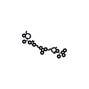 C=C1\C=C/C(/C=C/c2ccc3c4ccc(/C=C/c5ccc6c(c5)C(C)(C)c5cc(N(/C7=C/c8ccccc8C(CC)/C=C\C=C/C7)c7ccccc7)ccc5-6)cc4c4ccccc4c3c2)=C\CC(C)(C)c2cc(N(c3ccccc3)c3cc4ccccc4c4ccccc34)ccc21